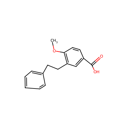 COc1ccc(C(=O)O)cc1CCc1ccccc1